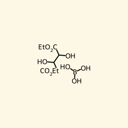 CCOC(=O)C(O)C(O)C(=O)OCC.OB(O)O